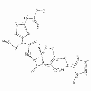 CON=C(C(=O)N[C@@H]1C(=O)N2C(C(=O)O)=C(CSc3nnnn3C)CS[C@@H]12)c1csc(NC(=O)CCl)n1